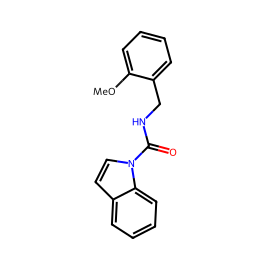 COc1ccccc1CNC(=O)n1ccc2ccccc21